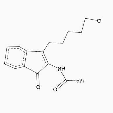 CCCC(=O)NC1=C(CCCCCCl)c2ccccc2C1=O